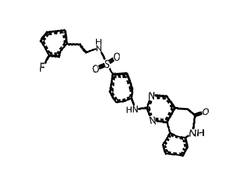 O=C1Cc2cnc(Nc3ccc(S(=O)(=O)NCCc4cccc(F)c4)cc3)nc2-c2ccccc2N1